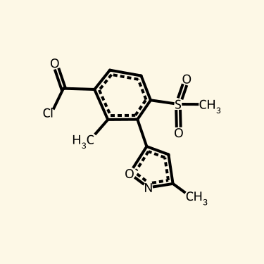 Cc1cc(-c2c(S(C)(=O)=O)ccc(C(=O)Cl)c2C)on1